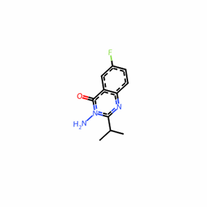 CC(C)c1nc2ccc(F)cc2c(=O)n1N